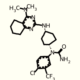 CN(C)c1nc(N[C@H]2CC[C@@H](N(C(N)=O)c3ccc(Cl)c(C(F)(F)F)c3)CC2)nc2c1CCCC2